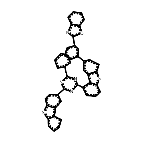 c1ccc(-c2nc(-c3ccc4sc5ccccc5c4c3)nc(-c3cccc4sc5ccc(-c6cccc(-c7nc8ccccc8o7)c6)cc5c34)n2)cc1